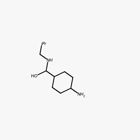 CC(C)CNC(O)C1CCC(N)CC1